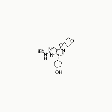 CC[C@H](C)Nc1ncc2c(OC3CCOCC3)ncc([C@H]3CC[C@H](O)CC3)c2n1